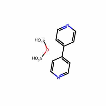 O=S(=O)(O)OS(=O)(=O)O.c1cc(-c2ccncc2)ccn1